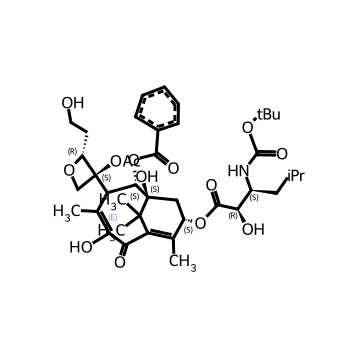 CC(=O)O[C@@]1(C2/C(C)=C(/O)C(=O)C3=C(C)[C@@H](OC(=O)[C@H](O)[C@H](CC(C)C)NC(=O)OC(C)(C)C)C[C@@](O)([C@H]2OC(=O)c2ccccc2)C3(C)C)CO[C@@H]1CCO